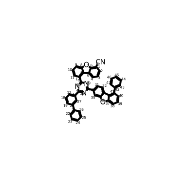 N#Cc1cccc2c1oc1cccc(-c3nc(-c4cccc(-c5ccccc5)c4)nc(-c4ccc5c(c4)oc4cccc(-c6ccccc6)c45)n3)c12